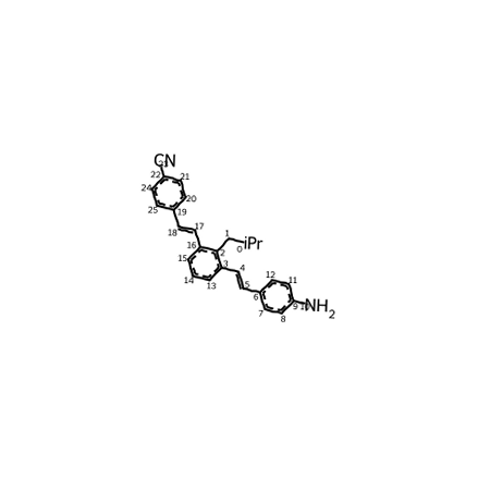 CC(C)Cc1c(/C=C/c2ccc(N)cc2)cccc1/C=C/c1ccc(C#N)cc1